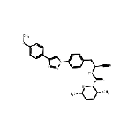 COc1ccc(-c2cn(-c3ccc(C[C@@H](C#N)NC(=O)[C@H]4N[C@@H](C)CC[C@H]4C)cc3)nn2)cc1